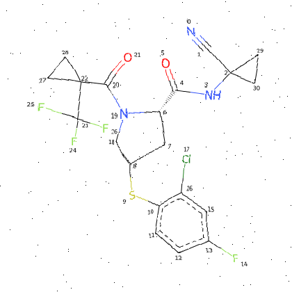 N#CC1(NC(=O)[C@@H]2CC(Sc3ccc(F)cc3Cl)CN2C(=O)C2(C(F)(F)F)CC2)CC1